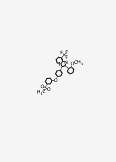 COc1ccccc1-c1nc2c(C(F)(F)F)cccn2c1-c1ccc(Oc2cccc(S(C)(=O)=O)c2)cc1